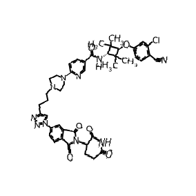 CC1(C)[C@H](NC(=O)c2ccc(N3CCN(CCCc4cn(-c5ccc6c(c5)C(=O)N(C5CCC(=O)NC5=O)C6=O)nn4)CC3)nc2)C(C)(C)[C@H]1Oc1ccc(C#N)c(Cl)c1